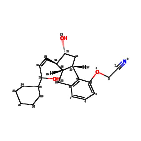 N#CCOc1cccc2c1[C@H]1C[C@@H](O)[C@H](/C=C\C(O)C3CCCCC3)[C@H]1C2